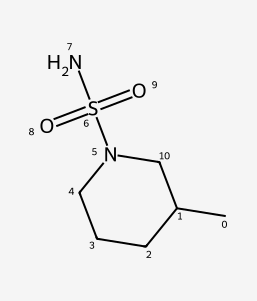 CC1CCCN(S(N)(=O)=O)C1